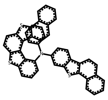 c1ccc(N(c2ccc3c(c2)sc2c4ccccc4ccc32)c2cccc3sc4ccc5sc6c7ccccc7ccc6c5c4c23)cc1